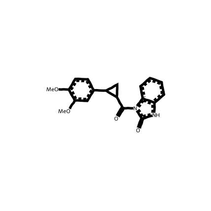 COc1ccc(C2CC2C(=O)n2c(=O)[nH]c3ccccc32)cc1OC